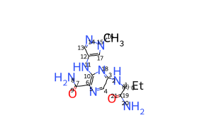 CC[C@@H](Nc1cnc(C(N)=O)c(Nc2cnn(C)c2)n1)C(N)=O